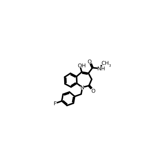 CNC(=O)C1=C(O)c2ccccc2N(Cc2ccc(F)cc2)C(=O)C1